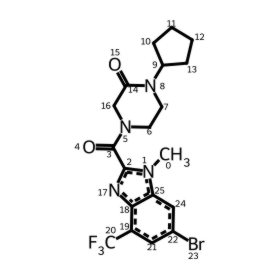 Cn1c(C(=O)N2CCN(C3CCCC3)C(=O)C2)nc2c(C(F)(F)F)cc(Br)cc21